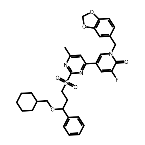 Cc1cc(-c2cc(F)c(=O)n(Cc3ccc4c(c3)OCO4)c2)nc(S(=O)(=O)CCC(OCC2CCCCC2)c2ccccc2)n1